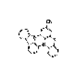 N#Cc1cc2c3c(c1)-n1c4ccccc4c4cccc(c41)B3c1ccccc1S2